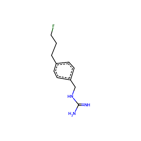 N=C(N)NCc1ccc(CCCF)cc1